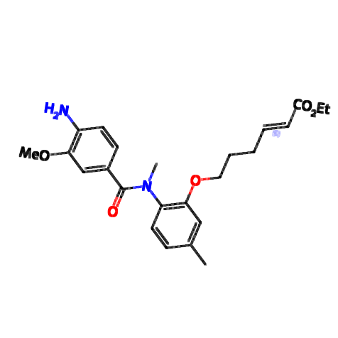 CCOC(=O)/C=C/CCCOc1cc(C)ccc1N(C)C(=O)c1ccc(N)c(OC)c1